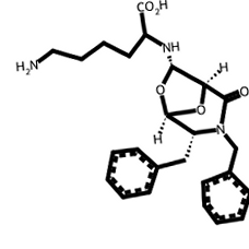 NCCCCC(N[C@H]1O[C@H]2O[C@@H]1C(=O)N(Cc1ccccc1)[C@@H]2Cc1ccccc1)C(=O)O